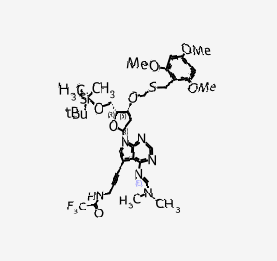 COc1cc(OC)c(CSCO[C@H]2C[C@H](n3cc(C#CCNC(=O)C(F)(F)F)c4c(/N=C/N(C)C)ncnc43)O[C@@H]2CO[Si](C)(C)C(C)(C)C)c(OC)c1